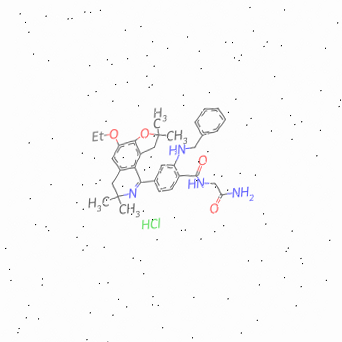 CCOc1cc2c(c3c1OC(C)(C)C3)C(c1ccc(C(=O)NCC(N)=O)c(NCc3ccccc3)c1)=NC(C)(C)C2.Cl